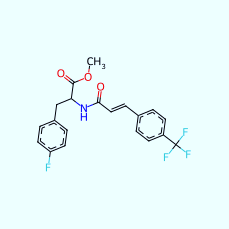 COC(=O)C(Cc1ccc(F)cc1)NC(=O)/C=C/c1ccc(C(F)(F)F)cc1